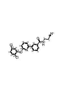 N#CCCNC(=O)c1cccc(-c2cccc(Oc3cc(Cl)ccc3Cl)n2)c1